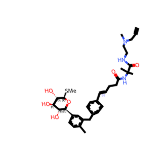 C#CCN(C)CCNC(=O)C(C)(C)NC(=O)CC/C=C/c1ccc(Cc2cc([C@@H]3O[C@H](SC)[C@@H](O)[C@H](O)[C@H]3O)ccc2C)cc1